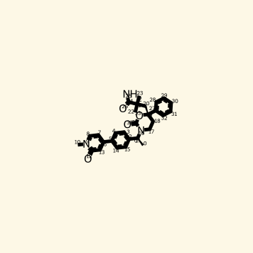 C[C@@H](c1ccc(-c2ccn(C)c(=O)c2)cc1)N1CC[C@@](CC(C)(C)C(N)=O)(c2ccccc2)OC1=O